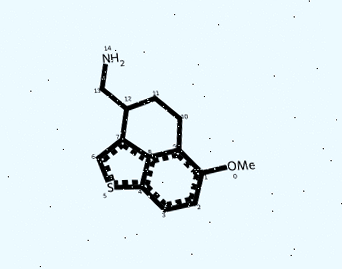 COc1ccc2scc3c2c1CCC3CN